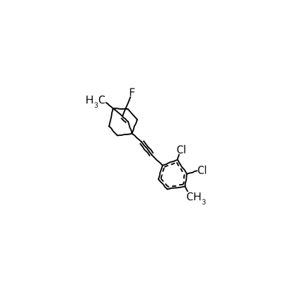 Cc1ccc(C#CC23C=C(F)C(C)(CC2)CC3)c(Cl)c1Cl